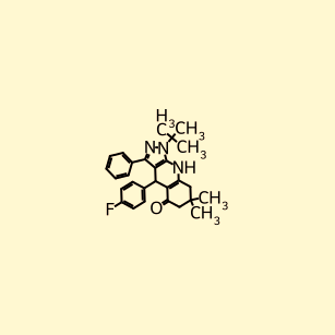 CC1(C)CC(=O)C2=C(C1)Nc1c(c(-c3ccccc3)nn1C(C)(C)C)C2c1ccc(F)cc1